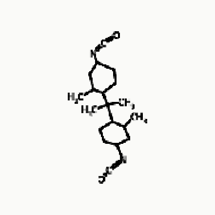 CC1CC(N=C=O)CCC1C(C)(C)C1CCC(N=C=O)CC1C